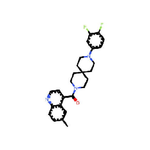 Cc1ccc2nccc(C(=O)N3CCC4(CC3)CCN(c3ccc(F)c(F)c3)CC4)c2c1